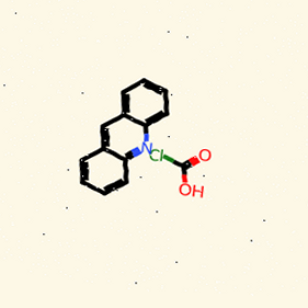 O=C(O)Cl.c1ccc2nc3ccccc3cc2c1